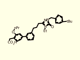 CCCOc1cc(-c2cccc(CCCc3nn(Cc4ccc(C(C)(C)C)cc4)c(=O)n3CC)c2)ccc1CC(=O)O